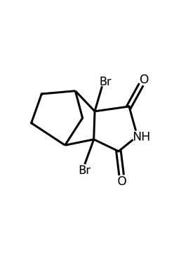 O=C1NC(=O)C2(Br)C3CCC(C3)C12Br